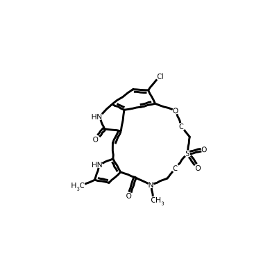 Cc1cc2c([nH]1)/C=C1\C(=O)Nc3cc(Cl)c(cc31)OCCS(=O)(=O)CCN(C)C2=O